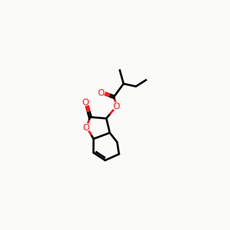 CCC(C)C(=O)OC1C(=O)OC2C=CCCC21